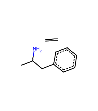 C=C.CC(N)Cc1ccccc1